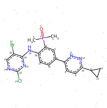 CP(C)(=O)c1cc(-c2ccc(C3CC3)nn2)ccc1Nc1nc(Cl)ncc1Br